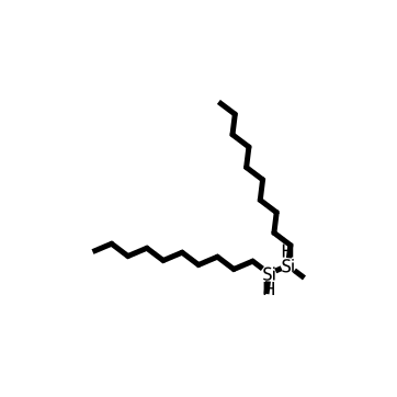 CCCCCCCCCC[SiH](C)[SiH](C)CCCCCCCCCC